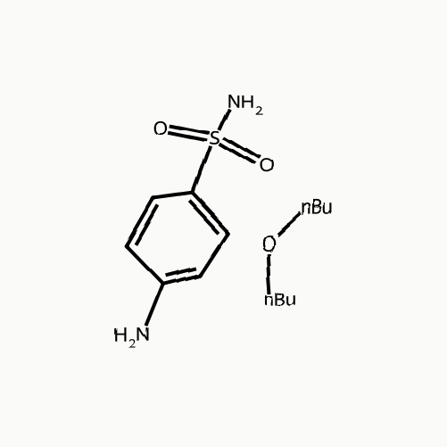 CCCCOCCCC.Nc1ccc(S(N)(=O)=O)cc1